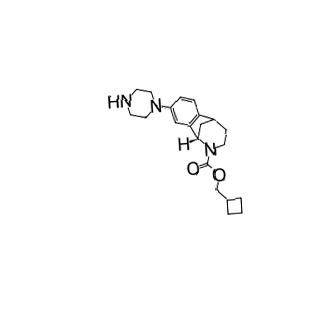 O=C(OCC1CCC1)N1CCC2C[C@H]1c1cc(N3CCNCC3)ccc12